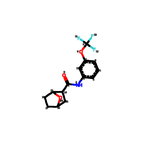 O=C(Nc1cccc(OC(F)(F)F)c1)C1CC2CCC1O2